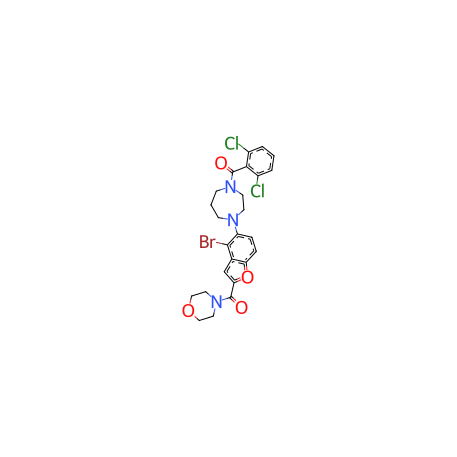 O=C(c1cc2c(Br)c(N3CCCN(C(=O)c4c(Cl)cccc4Cl)CC3)ccc2o1)N1CCOCC1